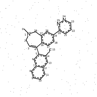 CN1CC=C(c2cc3ccccc3cc2F)c2ccc(-c3cccnn3)cc2C1